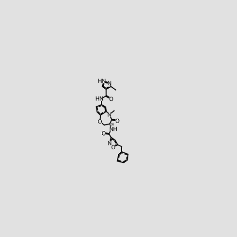 Cc1n[nH]cc1C(=O)Nc1ccc2c(c1)N(C)C(=O)[C@@H](NC(=O)c1cc(Cc3ccccc3)on1)CO2